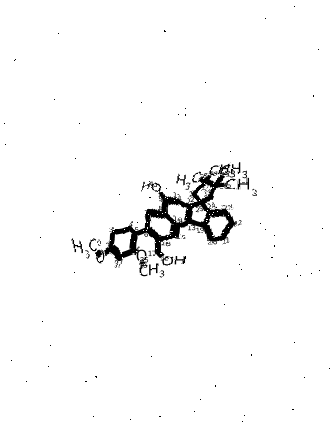 COc1ccc(-c2cc3c(O)cc4c(c3cc2CO)-c2ccccc2C42CC(C)(C)C(C)(C)C2)c(OC)c1